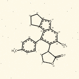 Cc1ccc(-c2c(C3CCOC3=O)c(C)nc3sc4c(c23)CCC4)cc1